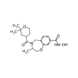 CC1COc2cc(C(=O)NO)ccc2CN1C(=O)C1CCOC(C)(C)C1